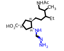 CCC(CC[C@@H]1C[C@@H](C(=O)O)C[C@H]1NC=NN)C(C)CNC(C)=O